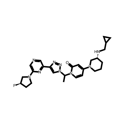 CC(n1cc(-c2cncc(N3CC[C@@H](F)C3)n2)nn1)n1ccc(N2CCC[C@@H](NCC3CC3)C2)cc1=O